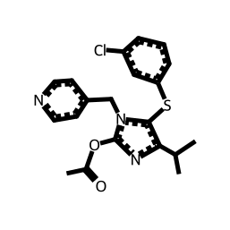 CC(=O)Oc1nc(C(C)C)c(Sc2cccc(Cl)c2)n1Cc1ccncc1